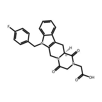 O=C(O)CN1CC(=O)N2Cc3c(c4ccccc4n3Cc3ccc(F)cc3)C[C@H]2C1=O